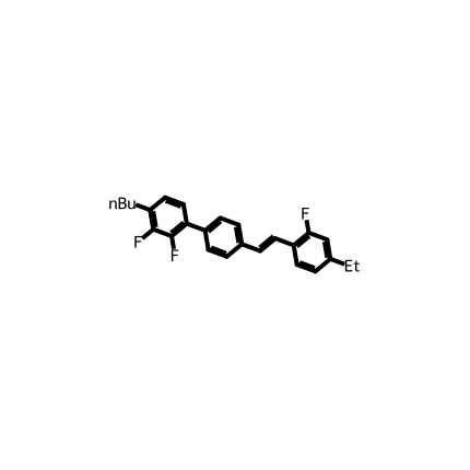 CCCCc1ccc(-c2ccc(/C=C/c3ccc(CC)cc3F)cc2)c(F)c1F